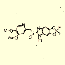 COc1cnc(C[S+]([O-])c2nc3cc4c(cc3[nH]2)OC(F)(F)O4)cc1OC